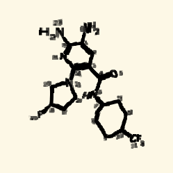 Nc1cc(C(=O)NC2CCC(C(F)(F)F)CC2)c(N2CC[C@@H](F)C2)nc1N